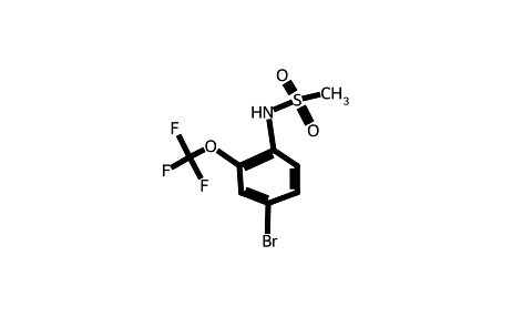 CS(=O)(=O)Nc1ccc(Br)cc1OC(F)(F)F